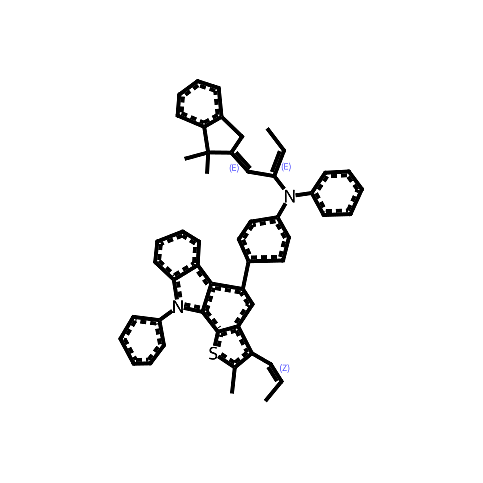 C/C=C\c1c(C)sc2c1cc(-c1ccc(N(C(=C/C)/C=C3\Cc4ccccc4C3(C)C)c3ccccc3)cc1)c1c3ccccc3n(-c3ccccc3)c21